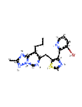 CCCc1c(Cc2scnc2-c2ncccc2Br)ncn2nc(C)nc12